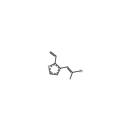 C=Cc1sccc1/C=C(\C)C(C)C